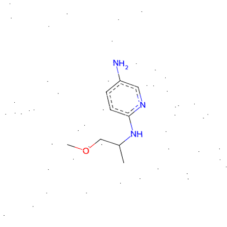 COCC(C)Nc1ccc(N)cn1